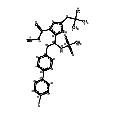 CCC(C)(C)Cc1cn(C(=O)OC(C)(C)C)c(C(Cc2ccc(-c3ccc(F)cn3)cc2)NS(C)(=O)=O)n1